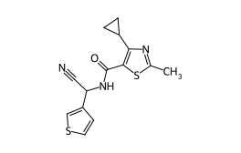 Cc1nc(C2CC2)c(C(=O)NC(C#N)c2ccsc2)s1